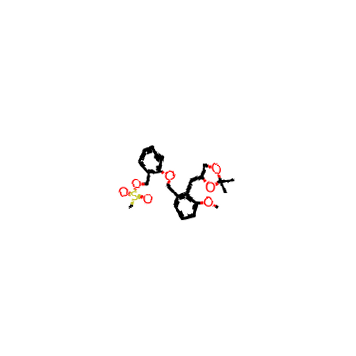 COc1cccc(COc2ccccc2COS(C)(=O)=O)c1CC1COC(C)(C)O1